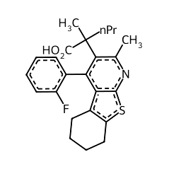 CCCC(C)(C(=O)O)c1c(C)nc2sc3c(c2c1-c1ccccc1F)CCCC3